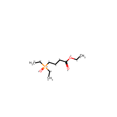 CCOC(=O)CCCP(=O)(CC)CC